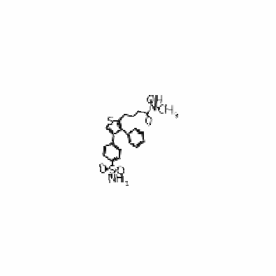 CN(O)C(=O)CCCc1scc(-c2ccc(S(N)(=O)=O)cc2)c1-c1ccccc1